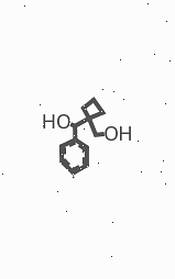 OCC1(C(O)c2cc[c]cc2)CCC1